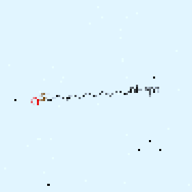 CCCCCCCCCCCCCCC=CCC[S+]=O